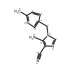 Cc1ccc(Cn2cnc(C#N)c2N)cn1